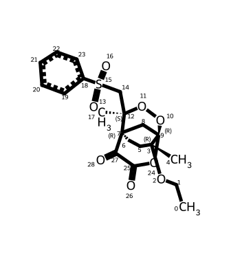 CCO[C@]1(C)CC[C@@]23C[C@]1(OO[C@]2(C)CS(=O)(=O)c1ccccc1)OC(=O)C3=O